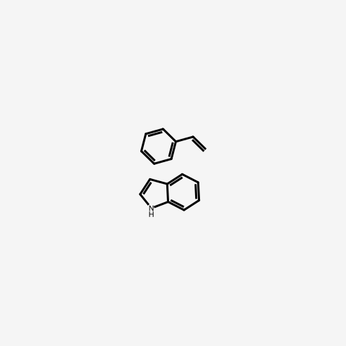 C=Cc1ccccc1.c1ccc2[nH]ccc2c1